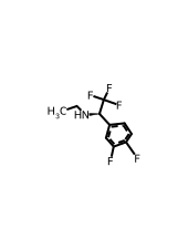 CCN[C@H](c1ccc(F)c(F)c1)C(F)(F)F